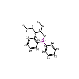 CCCCC(CC)CP(c1ccccc1)c1ccccc1